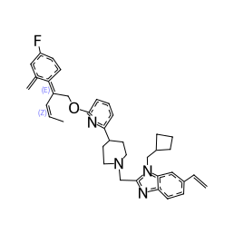 C=Cc1ccc2nc(CN3CCC(c4cccc(OCC(/C=C\C)=c5\ccc(F)cc5=C)n4)CC3)n(CC3CCC3)c2c1